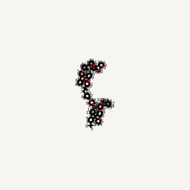 CC(C)(C)c1ccc2c(c1)C1(c3ccccc3-c3ccccc31)c1cc(N(c3ccc(-c4ccc(CC(C)(C)c5ccc6c(c5)C5(c7ccccc7-c7ccccc75)c5cc(N(c7ccc8c(c7)C(C)(C)c7ccccc7-8)c7ccccc7-c7ccccc7)ccc5-6)cc4)cc3)c3ccc4c(c3)C(C)(C)c3ccccc3-4)ccc1-2